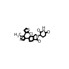 Cn1ncc(-c2ccc3c(c2)CN(C2CCC(=O)NC2=O)C3=O)c1-c1ccsc1Cl